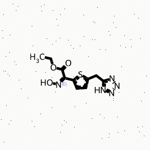 CCOC(=O)/C(=N\O)c1ccc(Cc2nnn[nH]2)s1